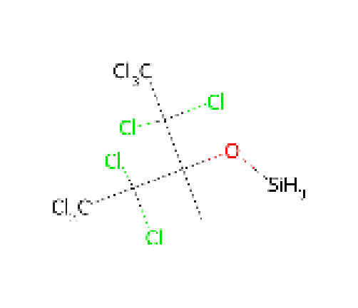 CC(O[SiH3])(C(Cl)(Cl)C(Cl)(Cl)Cl)C(Cl)(Cl)C(Cl)(Cl)Cl